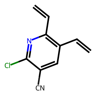 C=Cc1cc(C#N)c(Cl)nc1C=C